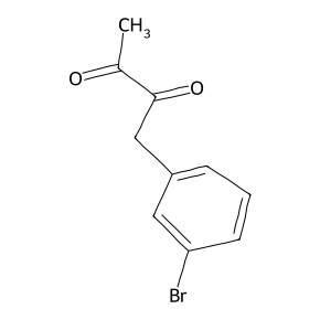 CC(=O)C(=O)Cc1cccc(Br)c1